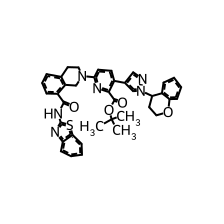 CC(C)(C)OC(=O)c1nc(N2CCc3cccc(C(=O)Nc4nc5ccccc5s4)c3C2)ccc1-c1cnn(C2CCOc3ccccc32)c1